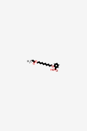 C=CC(=O)OCCCCCCCCCCOc1ccccc1C(=O)O